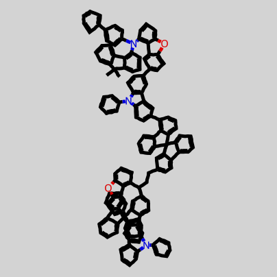 CC1(C)c2ccccc2-c2c(N(c3ccc(-c4ccccc4)cc3)c3cccc4oc5ccc(-c6ccc7c(c6)c6cc(-c8cccc9c8-c8ccccc8C98c9ccccc9-c9ccc(CCC(c%10ccc%11c(c%10)C%10(c%12ccccc%12-c%12ccccc%12%10)c%10ccccc%10-%11)c%10cccc%11oc%12ccc(-c%13ccc%14c(c%13)c%13ccccc%13n%14-c%13ccccc%13)cc%12c%10%11)cc98)ccc6n7-c6ccccc6)cc5c34)cccc21